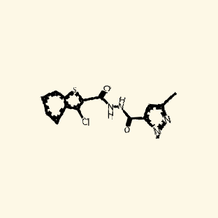 Cc1cc(C(=O)NNC(=O)c2sc3ccccc3c2Cl)n(C)n1